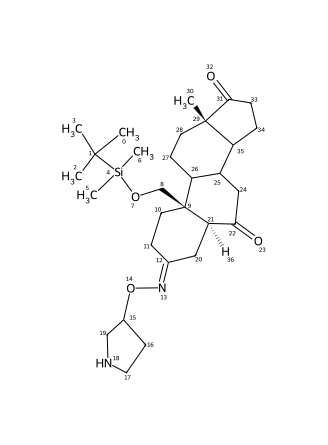 CC(C)(C)[Si](C)(C)OC[C@]12CCC(=NOC3CCNC3)C[C@@H]1C(=O)CC1C2CC[C@]2(C)C(=O)CCC12